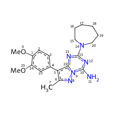 COc1ccc(-c2c(C)nn3c(N)nc(N4CCCCCC4)nc23)cc1OC